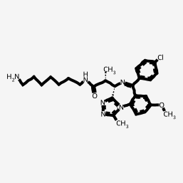 COc1ccc2c(c1)C(c1ccc(Cl)cc1)=N[C@@H]([C@@H](C)C(=O)NCCCCCCCN)c1nnc(C)n1-2